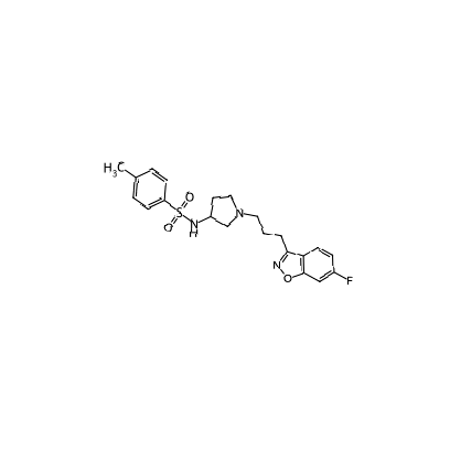 Cc1ccc(S(=O)(=O)NC2CCN(CCCc3noc4cc(F)ccc34)C2)cc1